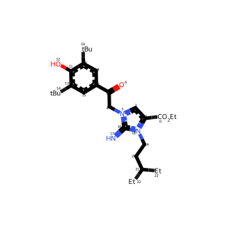 CCOC(=O)c1cn(CC(=O)c2cc(C(C)(C)C)c(O)c(C(C)(C)C)c2)c(=N)n1CCC(CC)CC